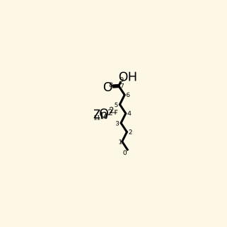 CCCCCCCC(=O)O.[O-2].[Zn+2]